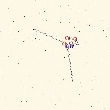 CCCCCCCCCCCCCCCCCCOCC(OCCCCCCCCCCCCCCCCCC)C(=O)NC(C)(C)CC(C)(C)CC(C)(C)OCCC(C)(C)OC